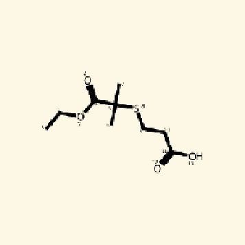 CCOC(=O)C(C)(C)SCCC(=O)O